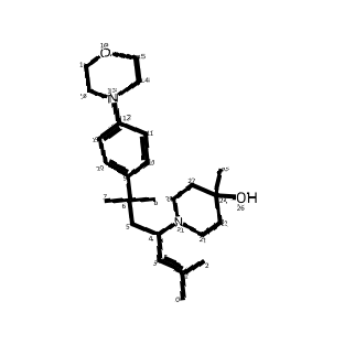 CC(C)=CC(CC(C)(C)c1ccc(N2CCOCC2)cc1)N1CCC(C)(O)CC1